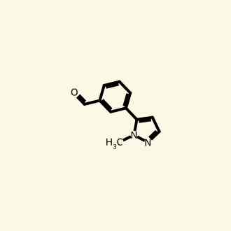 Cn1nccc1-c1cccc(C=O)c1